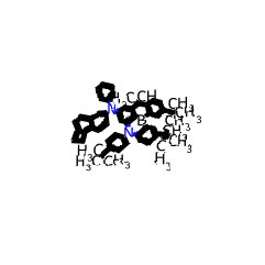 CC(C)(C)c1ccc(N2c3ccc(C(C)(C)C)cc3B3c4cc(C(C)(C)C)ccc4C(C)(C)c4cc(N(c5ccccc5)c5ccc6c7c(ccc6c5)CC7)cc2c43)cc1